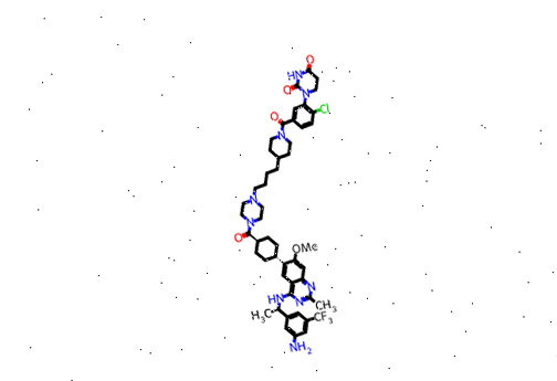 COc1cc2nc(C)nc(N[C@H](C)c3cc(N)cc(C(F)(F)F)c3)c2cc1[C@H]1CC[C@H](C(=O)N2CCN(CCCCC3CCN(C(=O)c4ccc(Cl)c(N5CCC(=O)NC5=O)c4)CC3)CC2)CC1